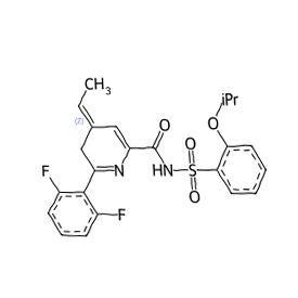 C/C=C1\C=C(C(=O)NS(=O)(=O)c2ccccc2OC(C)C)N=C(c2c(F)cccc2F)C1